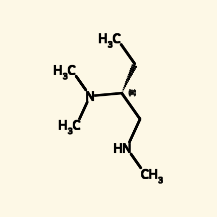 CC[C@H](CNC)N(C)C